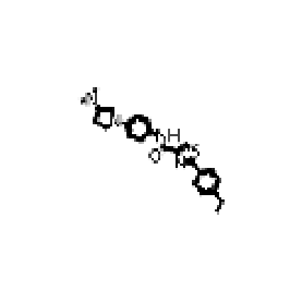 CCc1ccc(-c2nc(C(=O)Nc3ccc(N4CCC(N(C)C)C4)cc3)cs2)cc1